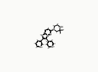 CC1(C)CN(c2ccc3nc(-c4cccnc4)c(-c4ccncc4)n3n2)CCN1